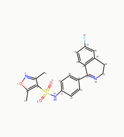 Cc1noc(C)c1S(=O)(=O)Nc1ccc(C2=NCCc3cc(F)ccc32)cc1